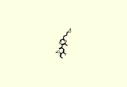 C=C(/C=C(F)\C(=C/C)OC)c1ncc(CCCOC)nc1C